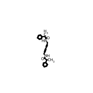 C[C@H](C(=O)NCC#CC#CCNC(=O)[C@@H](C)c1ccccc1)c1ccccc1